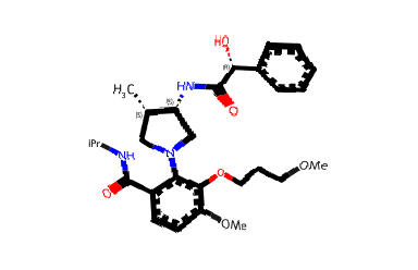 COCCCOc1c(OC)ccc(C(=O)NC(C)C)c1N1C[C@H](C)[C@H](NC(=O)[C@H](O)c2ccccc2)C1